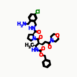 C[C@@H](NC(=O)OCc1ccccc1)[C@H](CCC(=O)N1CCOCC1)C(=O)N1CCC[C@H]1C(=O)NCc1cc(Cl)ccc1CN